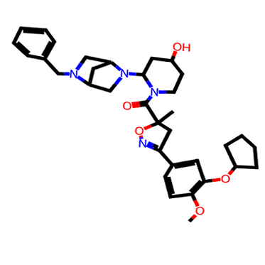 COc1ccc(C2=NOC(C)(C(=O)N3CCC(O)CC3N3CC4CC3CN4Cc3ccccc3)C2)cc1OC1CCCC1